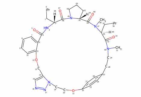 CC(C)C[C@H]1NC(=O)c2ccccc2OCc2cnnn2CCOc2ccc(cc2)CCN(C)C(=O)[C@H](CC(C)C)N(C)C(=O)[C@H]2CCCN2C1=O